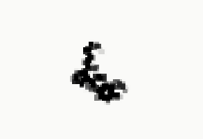 COCCNc1nonc1C(=N)Nc1ccc(F)c(C)c1